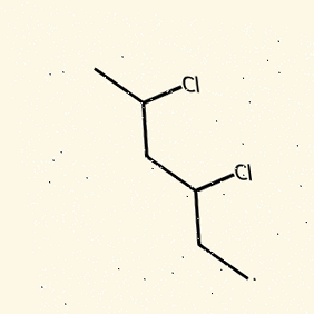 [CH2]CC(Cl)CC(C)Cl